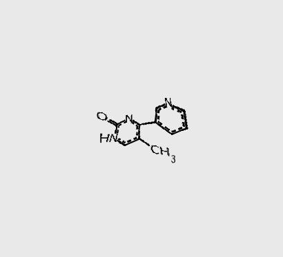 Cc1c[nH]c(=O)nc1-c1cccnc1